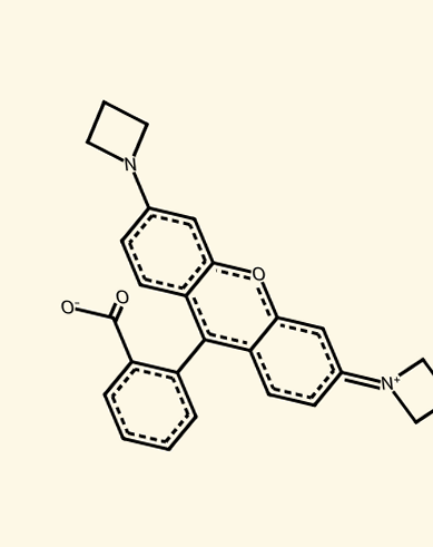 O=C([O-])c1ccccc1-c1c2ccc(=[N+]3CCC3)cc-2oc2cc(N3CCC3)ccc12